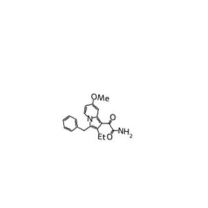 CCc1c(C(=O)C(N)=O)c2cc(OC)ccn2c1Cc1ccccc1